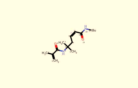 C=C(C)C(=O)NC(C)(C)C/C=C\C(=O)NC(C)(C)C